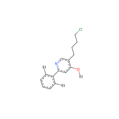 CCOc1cc(-c2c(CC)cccc2CC)ncc1CCCCCl